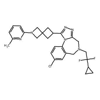 Cc1cccc(N2CC3(CC(c4nnc5n4-c4ccc(Cl)cc4CN(CC(F)(F)C4CC4)C5)C3)C2)n1